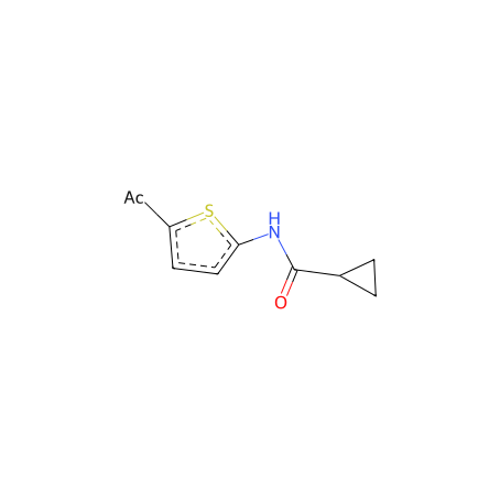 CC(=O)c1ccc(NC(=O)C2CC2)s1